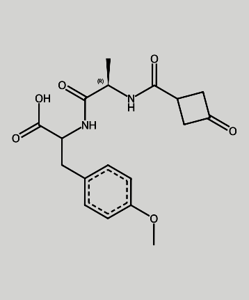 COc1ccc(CC(NC(=O)[C@@H](C)NC(=O)C2CC(=O)C2)C(=O)O)cc1